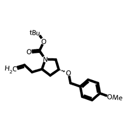 C=CCC1C[C@@H](OCc2ccc(OC)cc2)CN1C(=O)OC(C)(C)C